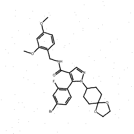 COc1ccc(CNC(=O)c2cnn(C3CCC4(CC3)OCCO4)c2-c2ccc(Br)cc2F)c(OC)c1